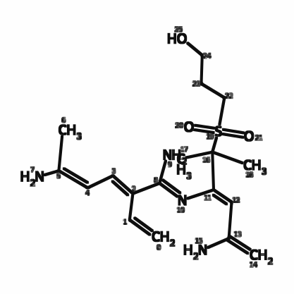 C=CC(=C\C=C(/C)N)/C(N)=N/C(=C\C(=C)N)C(C)(C)S(=O)(=O)CCCO